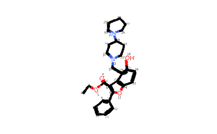 CCOC(=O)c1c(-c2ccccc2)oc2ccc(O)c(CN3CCC(N4CCCCC4)CC3)c12